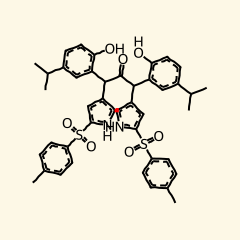 Cc1ccc(S(=O)(=O)c2cc(C(C(=O)C(c3c[nH]c(S(=O)(=O)c4ccc(C)cc4)c3)c3cc(C(C)C)ccc3O)c3cc(C(C)C)ccc3O)c[nH]2)cc1